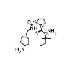 CCC(C)(C)[C@H](N)C(=S)N1CCC[C@H]1C(=O)NCC1CCC(N)CC1